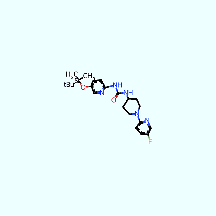 CC(C)(C)[Si](C)(C)Oc1ccc(NC(=O)NC2CCN(c3ccc(F)cn3)CC2)nc1